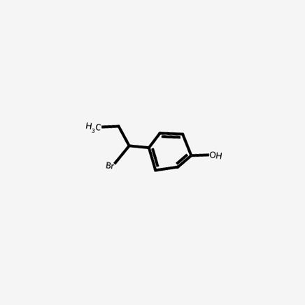 CCC(Br)c1ccc(O)cc1